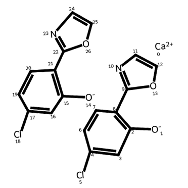 [Ca+2].[O-]c1cc(Cl)ccc1-c1ncco1.[O-]c1cc(Cl)ccc1-c1ncco1